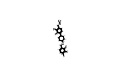 CCOCc1ccc(C2CCC(OCc3ccc(C)c(F)c3F)CC2)c(F)c1F